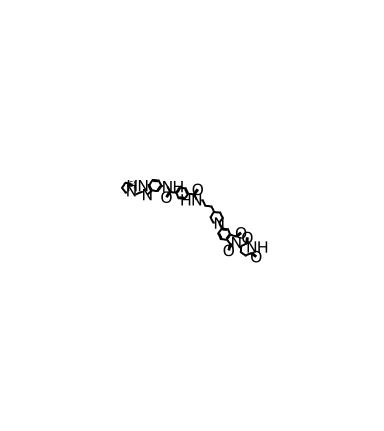 C[C@H]1CCCN1Cc1nc2cc(NC(=O)c3ccc(C(=O)NCCCC4CCN(c5ccc6c(c5)C(=O)N(C5CCC(=O)NC5=O)C6=O)CC4)cc3)ccc2[nH]1